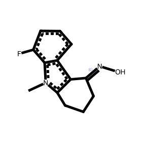 Cn1c2c(c3cccc(F)c31)/C(=N/O)CCC2